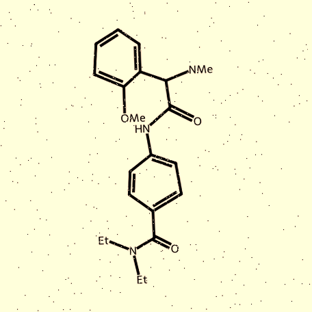 CCN(CC)C(=O)c1ccc(NC(=O)C(NC)c2ccccc2OC)cc1